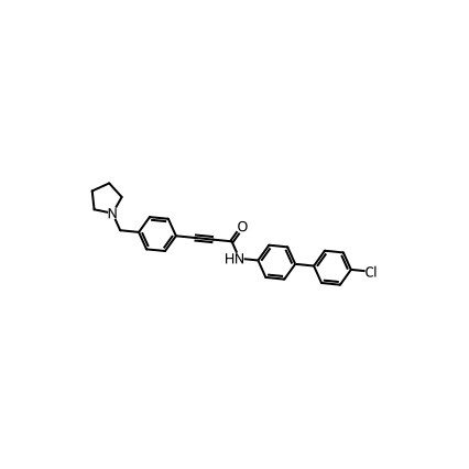 O=C(C#Cc1ccc(CN2CCCC2)cc1)Nc1ccc(-c2ccc(Cl)cc2)cc1